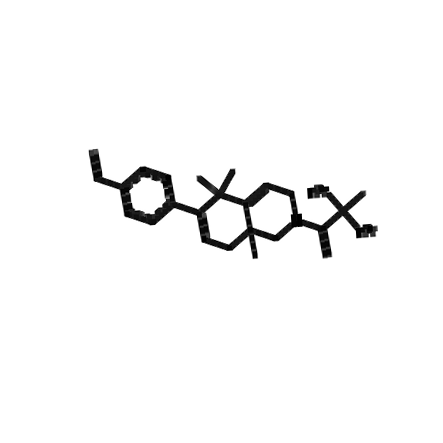 C=Cc1ccc(C2=CCC3(C)CN(C(=C)C(C)(CCC)CCC)CC=C3C2(C)C)cc1